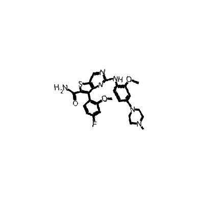 COc1cc(N2CCN(C)CC2)ccc1Nc1ncc2sc(C(N)=O)c(-c3ccc(F)cc3OC)c2n1